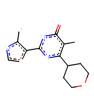 Cc1ncsc1-c1nc(C2CCOCC2)c(Br)c(=O)[nH]1